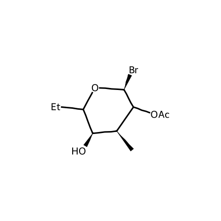 CCC1O[C@@H](Br)C(OC(C)=O)[C@@H](C)[C@H]1O